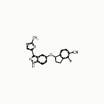 Cc1ncc(-c2n[nH]c3ccc(OC4CCc5c4ccc(C#N)c5F)cc23)o1